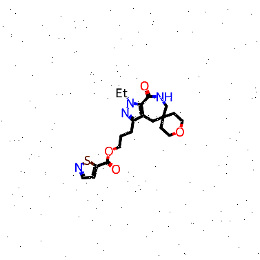 CCn1nc(CCCOC(=O)c2ccns2)c2c1C(=O)NCC1(CCOCC1)C2